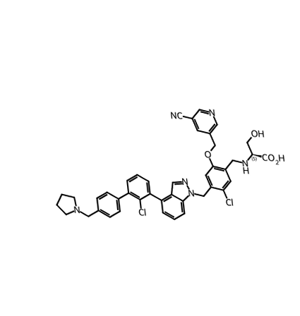 N#Cc1cncc(COc2cc(Cn3ncc4c(-c5cccc(-c6ccc(CN7CCCC7)cc6)c5Cl)cccc43)c(Cl)cc2CN[C@@H](CO)C(=O)O)c1